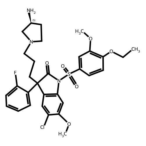 CCOc1ccc(S(=O)(=O)N2C(=O)C(CCCN3CC[C@H](N)C3)(c3ccccc3F)c3cc(Cl)c(OC)cc32)cc1OC